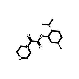 CC(C)[C@@H]1CC[C@@H](C)C[C@H]1OC(=O)C(=O)N1CCOCC1